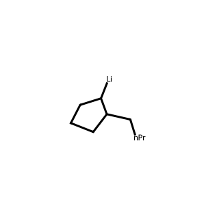 [Li][CH]1CCCC1CCCC